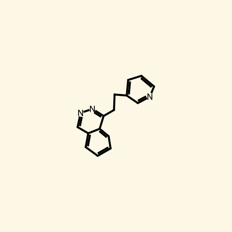 c1cncc(CCc2nncc3ccccc23)c1